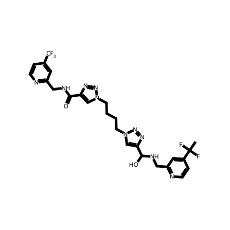 CC(F)(F)c1ccnc(CNC(O)c2cn(CCCCn3cc(C(=O)NCc4cc(C(F)(F)F)ccn4)nn3)nn2)c1